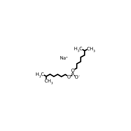 CC(C)CCCCCOP([O-])OCCCCCC(C)C.[Na+]